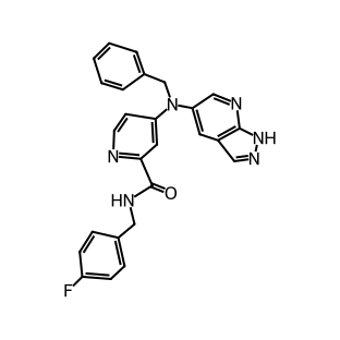 O=C(NCc1ccc(F)cc1)c1cc(N(Cc2ccccc2)c2cnc3[nH]ncc3c2)ccn1